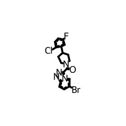 O=C(c1nnc2ccc(Br)cn12)N1CCC(c2cc(F)ccc2Cl)CC1